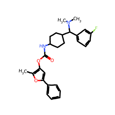 Cc1oc(-c2ccccc2)cc1OC(=O)NC1CCC(C(c2cccc(F)c2)N(C)C)CC1